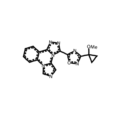 COC1(c2noc(-c3nnc4c5ccccc5n5cncc5n34)n2)CC1